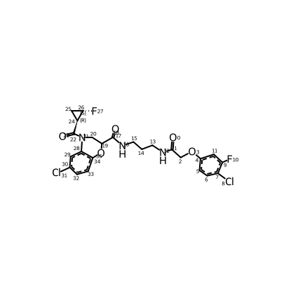 O=C(COc1ccc(Cl)c(F)c1)NCCCNC(=O)C1CN(C(=O)[C@H]2C[C@@H]2F)c2cc(Cl)ccc2O1